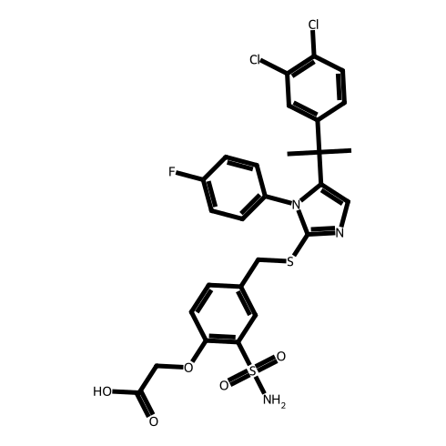 CC(C)(c1ccc(Cl)c(Cl)c1)c1cnc(SCc2ccc(OCC(=O)O)c(S(N)(=O)=O)c2)n1-c1ccc(F)cc1